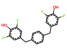 Oc1c(F)cc(Cc2ccc(Cc3cc(F)c(O)c(F)c3)cc2)cc1F